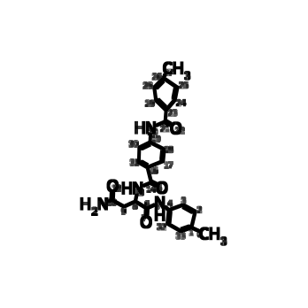 Cc1ccc(NC(=O)C(CC(N)=O)NC(=O)c2ccc(NC(=O)c3ccc(C)cc3)cc2)cc1